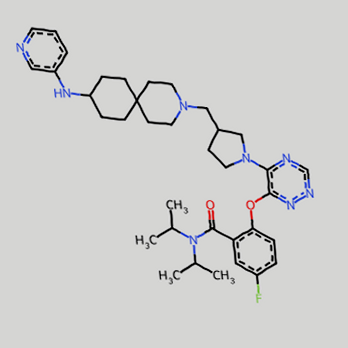 CC(C)N(C(=O)c1cc(F)ccc1Oc1nncnc1N1CCC(CN2CCC3(CCC(Nc4cccnc4)CC3)CC2)C1)C(C)C